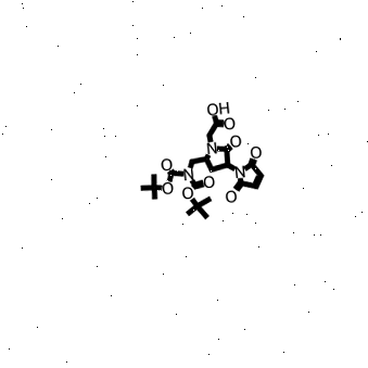 CC(C)(C)OC(=O)N(CC1CC(N2C(=O)C=CC2=O)C(=O)N1CC(=O)O)C(=O)OC(C)(C)C